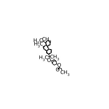 CCC(=O)OC1CC2CC1CC2OC(C)(C)c1ccc2c(ccc3c(C(C)(C)C)cccc32)c1